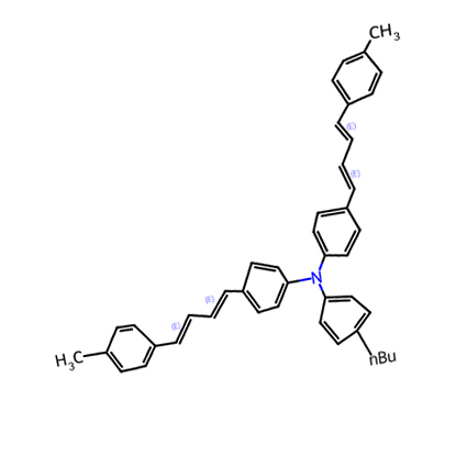 CCCCc1ccc(N(c2ccc(/C=C/C=C/c3ccc(C)cc3)cc2)c2ccc(/C=C/C=C/c3ccc(C)cc3)cc2)cc1